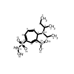 CCC(C)N(CC)C1C=CC=C(S(=O)(=O)NO)C=C1[N+](=O)[O-]